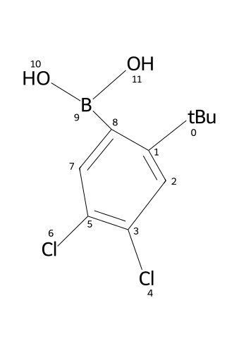 CC(C)(C)c1cc(Cl)c(Cl)cc1B(O)O